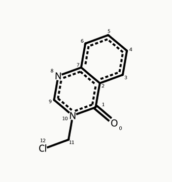 O=c1c2ccccc2ncn1CCl